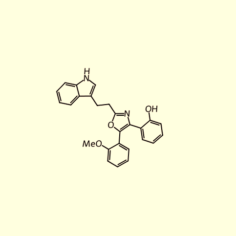 COc1ccccc1-c1oc(CCc2c[nH]c3ccccc23)nc1-c1ccccc1O